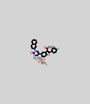 CNC(=O)c1c(-c2ccc(F)cc2)oc2cc(N(C)S(C)(=O)=O)c(-c3cnc(=O)n(-c4ccc5ccccc5c4)c3)cc12